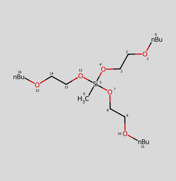 CCCCOCCO[Si](C)(OCCOCCCC)OCCOCCCC